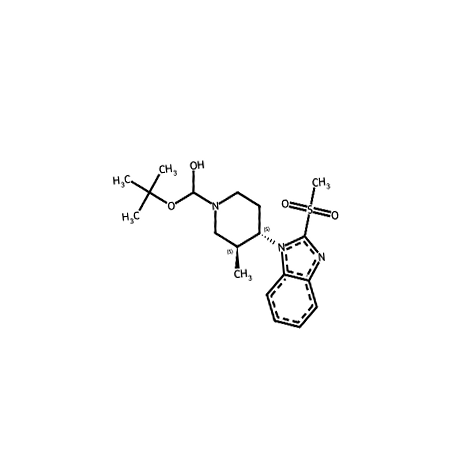 C[C@H]1CN(C(O)OC(C)(C)C)CC[C@@H]1n1c(S(C)(=O)=O)nc2ccccc21